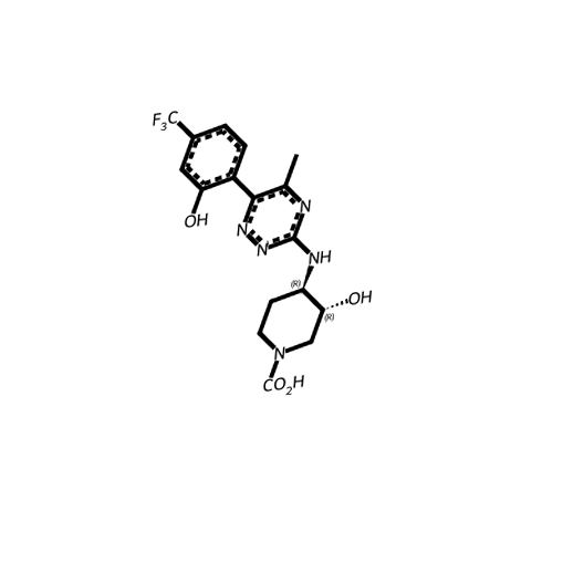 Cc1nc(N[C@@H]2CCN(C(=O)O)C[C@H]2O)nnc1-c1ccc(C(F)(F)F)cc1O